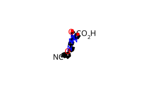 N#Cc1ccc2c(c1)CCC[C@H]2Oc1cccc(C2CCN(Cc3nc4ccc(C(=O)O)cc4n3C[C@@H]3CCO3)CC2)n1